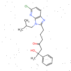 CC(C)Cn1c(CCCC(=O)CC(C)(O)c2ccccc2)nc2ccc(Cl)nc21